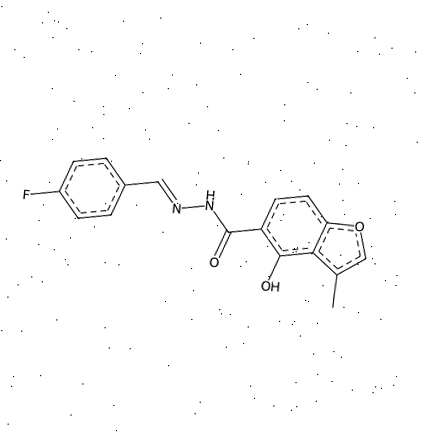 Cc1coc2ccc(C(=O)N/N=C/c3ccc(F)cc3)c(O)c12